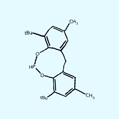 Cc1cc2c(c(C(C)(C)C)c1)OPOc1c(cc(C)cc1C(C)(C)C)C2